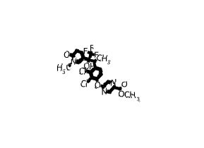 COC(=O)c1cnc(Oc2ccc(C(C)C(O)(c3ccc(=O)n(C)c3)C(F)(F)F)c(Cl)c2Cl)cn1